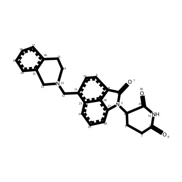 O=C1CCC(N2C(=O)c3ccc(CN4CCc5ccccc5C4)c4cccc2c34)C(=O)N1